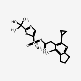 Cc1c2c(cc(C3CC3)c1CC(=O)N=[S@@](N)(=O)c1cnc(C(C)(C)O)s1)CCC2